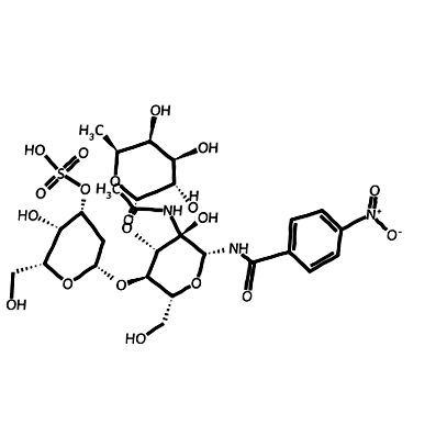 CC(=O)N[C@]1(O)[C@H](NC(=O)c2ccc([N+](=O)[O-])cc2)O[C@H](CO)[C@@H](O[C@H]2C[C@@H](OS(=O)(=O)O)[C@@H](O)[C@@H](CO)O2)[C@@H]1O[C@@H]1O[C@@H](C)[C@@H](O)[C@@H](O)[C@@H]1O